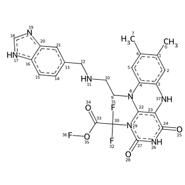 Cc1cc2c(cc1C)N(CCNCc1ccc3[nH]cnc3c1)c1c(c(=O)[nH]c(=O)n1C(F)(F)C(=O)OF)N2